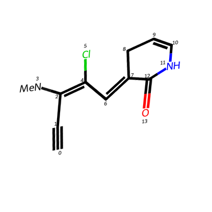 C#C/C(NC)=C(Cl)\C=C1/CC=CNC1=O